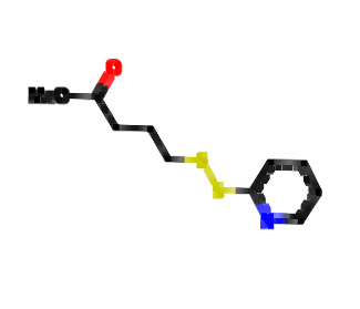 COC(=O)CCCSSc1ccccn1